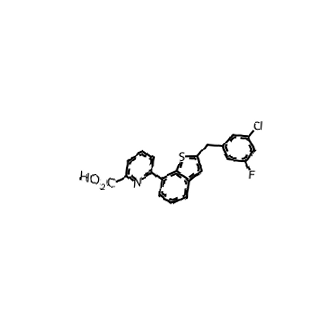 O=C(O)c1cccc(-c2cccc3cc(Cc4cc(F)cc(Cl)c4)sc23)n1